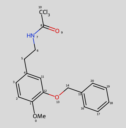 COc1ccc(CCNC(=O)C(Cl)(Cl)Cl)cc1OCc1ccccc1